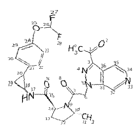 CC(=O)c1nn(CC(=O)N2[C@H](C)CC[C@H]2C(=O)NC2CC2c2ccc(OC(F)F)cc2)c2cnccc12